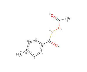 CCCC(=O)OSC(=O)c1ccc(C)cc1